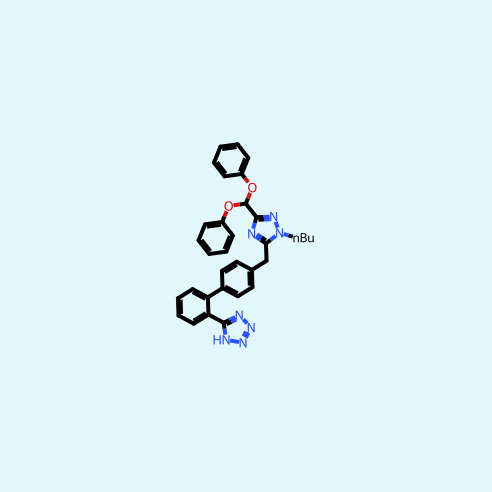 CCCCn1nc(C(Oc2ccccc2)Oc2ccccc2)nc1Cc1ccc(-c2ccccc2-c2nnn[nH]2)cc1